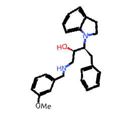 COc1cccc(CNC[C@@H](O)[C@H](Cc2ccccc2)N2CCc3ccccc32)c1